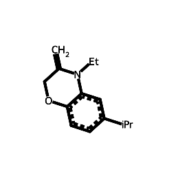 C=C1COc2ccc(C(C)C)cc2N1CC